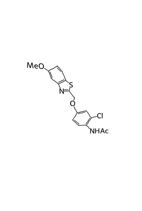 COc1ccc2sc(COc3ccc(NC(C)=O)c(Cl)c3)nc2c1